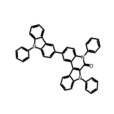 O=c1c2c(c3cc(-c4ccc5c(c4)c4ccccc4n5-c4ccccc4)ccc3n1-c1ccccc1)c1ccccc1n2-c1ccccc1